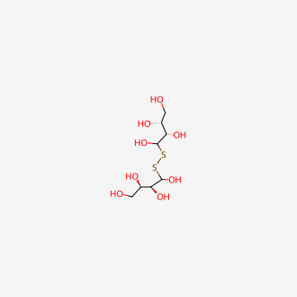 OC[C@@H](O)[C@H](O)C(O)SSC(O)[C@@H](O)[C@H](O)CO